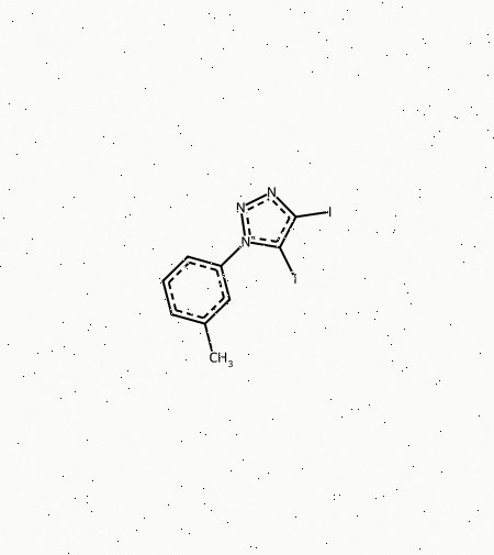 Cc1cccc(-n2nnc(I)c2I)c1